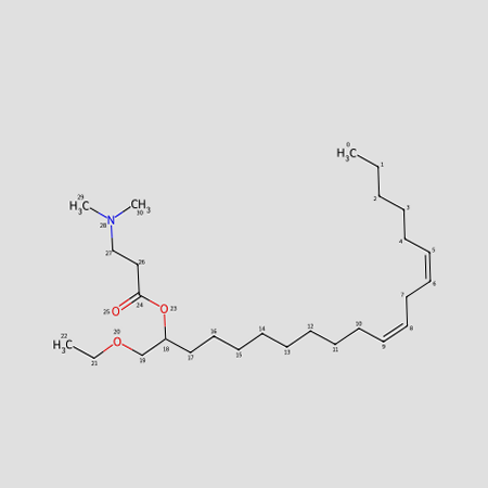 CCCCC/C=C\C/C=C\CCCCCCCCC(COCC)OC(=O)CCN(C)C